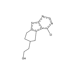 OCCC1CCc2sc3ncnc(Cl)c3c2C1